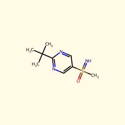 CC(C)(C)c1ncc(S(C)(=N)=O)cn1